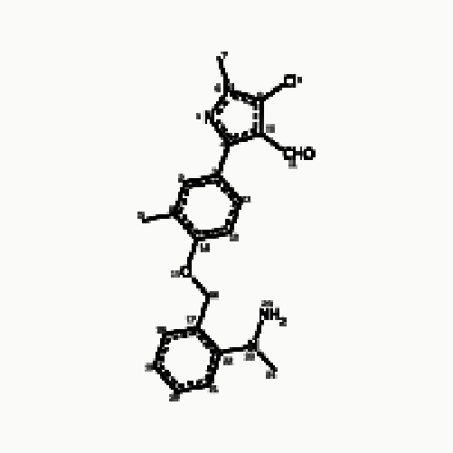 Cc1cc(-c2nn(C)c(Cl)c2C=O)ccc1OCc1ccccc1N(C)N